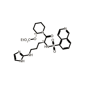 CCOC(=O)O[C@@H]1CCCCN1C(=O)[C@H](CCCNc1ncc[nH]1)NS(=O)(=O)c1cccc2cnccc12